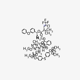 CC1(C)C(/C=C(\Cl)C(F)(F)F)C1C(=O)OC(C#N)c1cccc(Oc2ccccc2)c1.COC(=O)c1ccccc1S(=O)(=O)NC(=O)Nc1nc(C)nc(OC)n1.COP(=S)(OC)Oc1ccc(Sc2ccc(OP(=S)(OC)OC)cc2)cc1